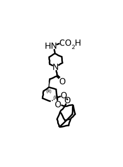 O=C(O)NC1CCN(C(=O)C[C@@H]2CCC[C@]3(C2)OOC2(O3)C3CC4CC(C3)CC2C4)CC1